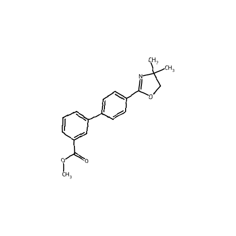 COC(=O)c1cccc(-c2ccc(C3=NC(C)(C)CO3)cc2)c1